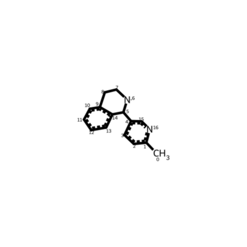 Cc1ccc(C2[N]CCc3ccccc32)cn1